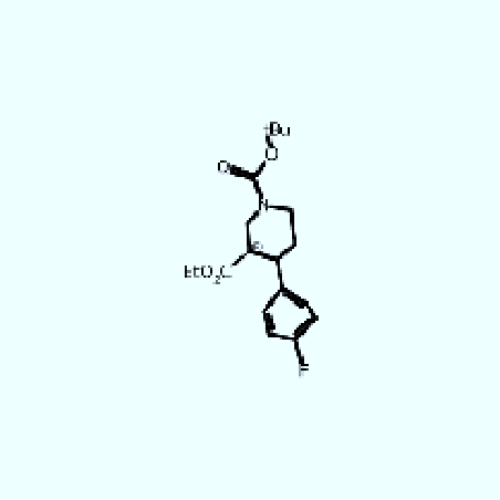 CCOC(=O)[C@H]1CN(C(=O)OC(C)(C)C)CCC1c1ccc(F)cc1